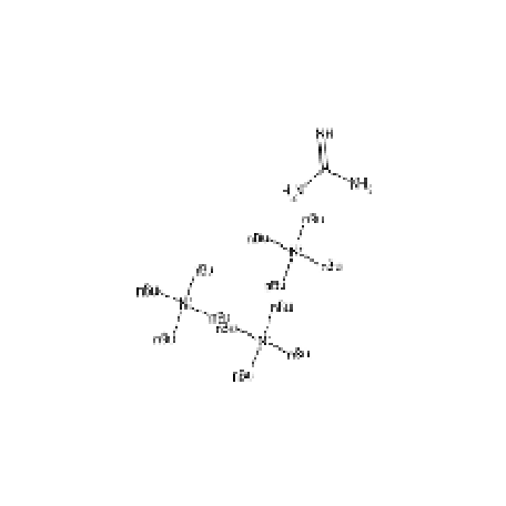 CCCC[N+](CCCC)(CCCC)CCCC.CCCC[N+](CCCC)(CCCC)CCCC.CCCC[N+](CCCC)(CCCC)CCCC.N=C(N)N